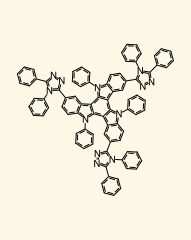 c1ccc(-c2nnc(-c3ccc4c(c3)c3c(c5c6cc(-c7nnc(-c8ccccc8)n7-c7ccccc7)ccc6n(-c6ccccc6)c5c5c6cc(-c7nnc(-c8ccccc8)n7-c7ccccc7)ccc6n(-c6ccccc6)c35)n4-c3ccccc3)n2-c2ccccc2)cc1